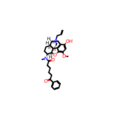 C=CCN1CC[C@]23c4c5c(O)cc(OC)c4O[C@H]2[C@H](N(C)C(=O)CCCCC(=O)c2ccccc2)CC[C@H]3[C@H]1C5